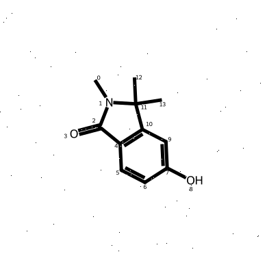 CN1C(=O)c2ccc(O)cc2C1(C)C